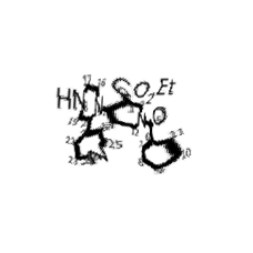 CCOC(=O)C1CN(C(=O)c2ccccc2)CCC1N1CCNCC1c1ccncc1